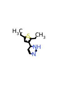 CCc1cc(C2C=CN=CN2)c(CC)s1